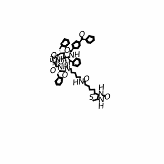 CC(C)C[C@H](NC(=O)[C@H](Cc1ccccc1)C[C@@H](O)[C@H](Cc1ccccc1)NC(=O)c1ccc(C(=O)c2ccccc2)cc1)C(=O)N[C@@H](Cc1ccccc1)C(=O)NCCCCCNC(=O)CCCCC1SCC2NC(=O)NC21